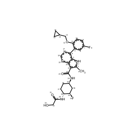 Cc1[nH]c2c(-c3cc(F)ccc3OCC3CC3)ncnc2c1C(=O)N[C@@H]1CC[C@@H](NC(=O)CO)[C@H](F)C1